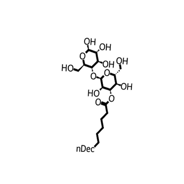 CCCCCCCCCCCCCCCC(=O)O[C@@H]1[C@@H](O)[C@@H](O[C@H]2[C@H](O)[C@@H](O)[C@H](O)O[C@@H]2CO)O[C@H](CO)[C@H]1O